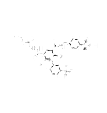 CCOC(=O)NNC(=O)c1cc(C(=O)NCc2ccc(S(C)(=O)=O)cc2)c(=O)n(-c2cccc(C(F)(F)F)c2)c1C